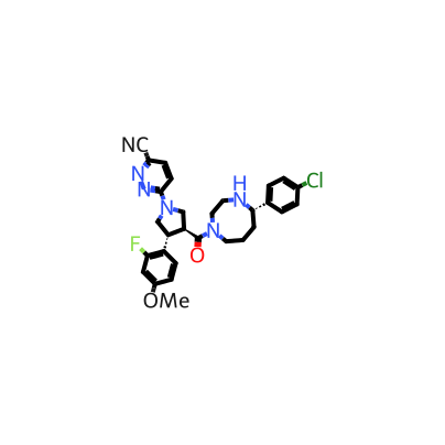 COc1ccc([C@@H]2CN(c3ccc(C#N)nn3)C[C@H]2C(=O)N2CCC[C@@H](c3ccc(Cl)cc3)NCC2)c(F)c1